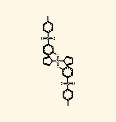 Cc1ccc(S(=O)(=O)c2cccc([O][Zr]([O]c3cccc(S(=O)(=O)c4ccc(C)cc4)c3)([CH]3C=CC=C3)[CH]3C=CC=C3)c2)cc1